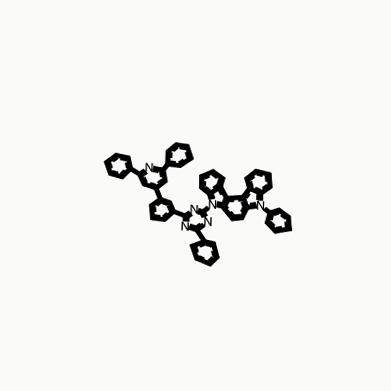 c1ccc(-c2cc(-c3cccc(-c4nc(-c5ccccc5)nc(-n5c6ccccc6c6c7c8ccccc8n(-c8ccccc8)c7ccc65)n4)c3)cc(-c3ccccc3)n2)cc1